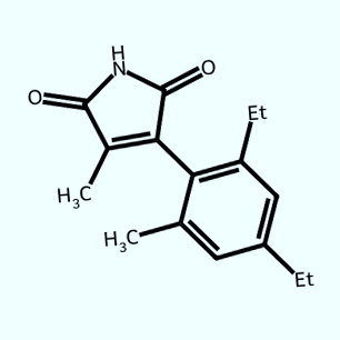 CCc1cc(C)c(C2=C(C)C(=O)NC2=O)c(CC)c1